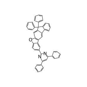 c1ccc(-c2cc(-c3ccccc3)nc(-c3ccc4oc5cc6c(cc5c4c3)-c3ccccc3C6(c3ccccc3)c3ccccc3)n2)cc1